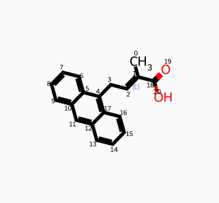 C/C(=C\Cc1c2ccccc2cc2ccccc12)C(=O)O